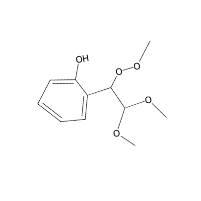 COOC(c1ccccc1O)C(OC)OC